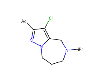 CC(=O)c1nn2c(c1Cl)CN(C(C)C)CCC2